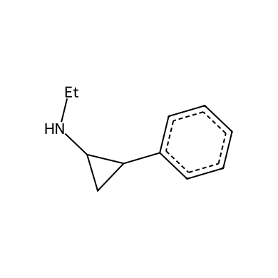 CCNC1CC1c1ccccc1